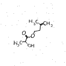 C=C(C)CCOC(=O)C(C)O